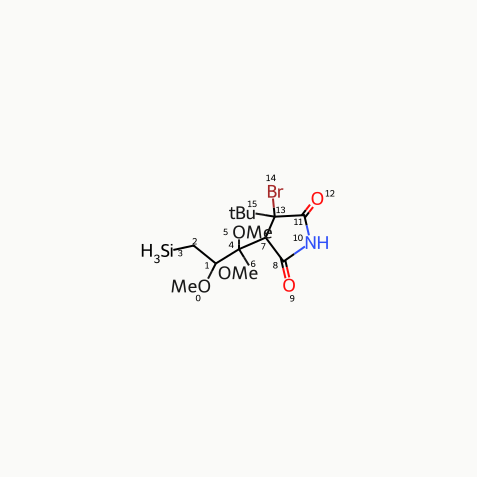 COC(C[SiH3])C(OC)(OC)C1C(=O)NC(=O)C1(Br)C(C)(C)C